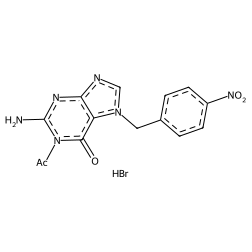 Br.CC(=O)n1c(N)nc2ncn(Cc3ccc([N+](=O)[O-])cc3)c2c1=O